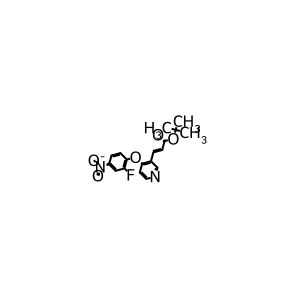 CC(C)(C)OC(=O)/C=C/c1cnccc1Oc1ccc([N+](=O)[O-])cc1F